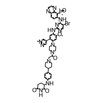 COc1cc(N2CCN(C(=O)CN3CCC(c4ccc(NC5CCC(=O)NC5=O)cc4)CC3)CC2)c(-c2cnn(C)c2)cc1Nc1ncc(Br)c(Nc2ccc3nccnc3c2P(C)(C)=O)n1